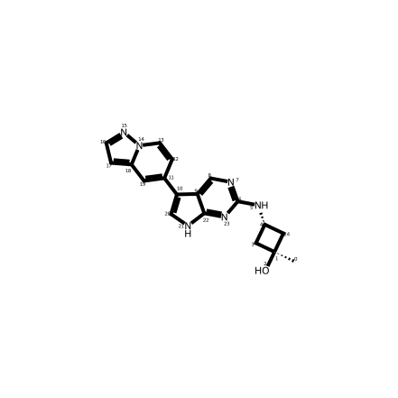 C[C@]1(O)C[C@H](Nc2ncc3c(-c4ccn5nccc5c4)c[nH]c3n2)C1